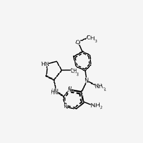 COc1ccc(N(N)c2nc(NC3CNCC3C)ncc2N)cc1